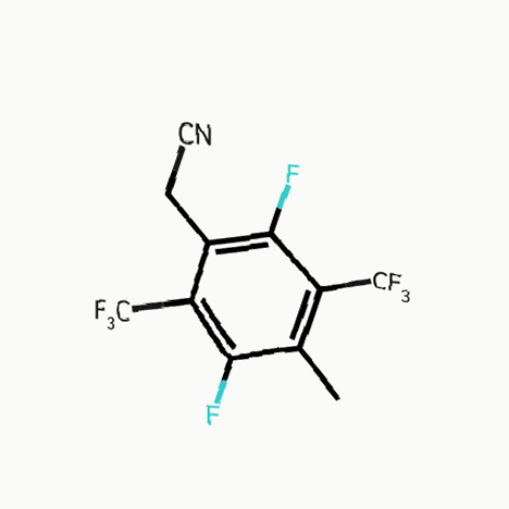 Cc1c(F)c(C(F)(F)F)c(CC#N)c(F)c1C(F)(F)F